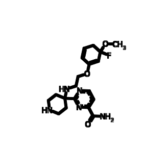 COC1(F)C=C(OCCNC2(c3nccc(C(N)=O)n3)CCNCC2)C=CC1